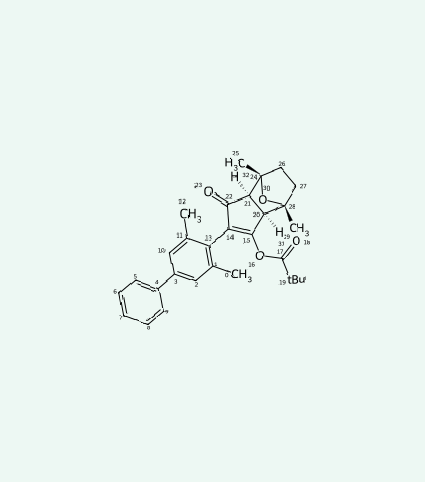 Cc1cc(-c2ccccc2)cc(C)c1C1=C(OC(=O)C(C)(C)C)[C@H]2[C@@H](C1=O)[C@]1(C)CC[C@@]2(C)O1